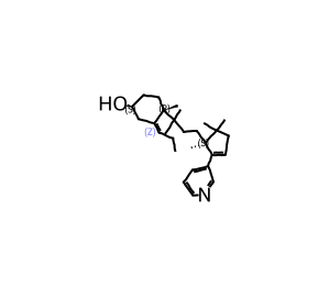 CC/C=C1/C[C@@H](O)CC[C@]1(C)C(C)(C)CC[C@]1(C)C(c2cccnc2)=CCC1(C)C